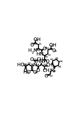 CC(=O)N(C(=O)C(NC(=O)C(CCC(=O)O)NC(=O)C(N)CC(=O)O)C(C)C)C(CC(=O)O)C(=O)O.O=CCSC1CCCCC1